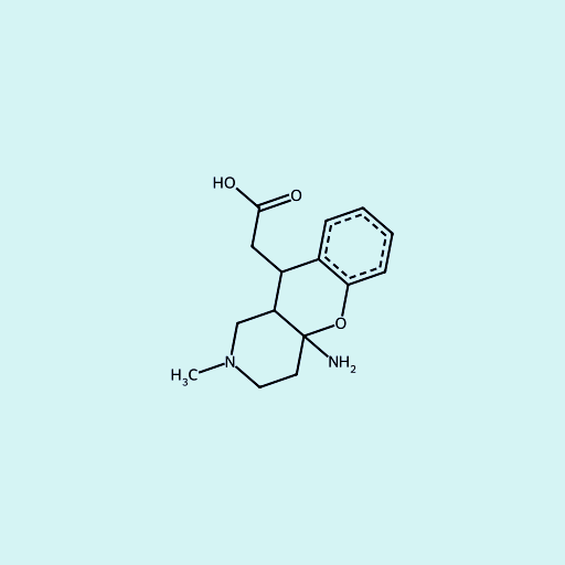 CN1CCC2(N)Oc3ccccc3C(CC(=O)O)C2C1